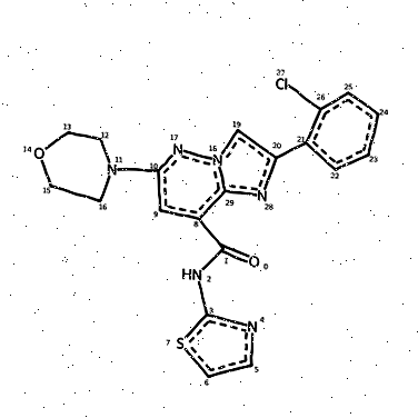 O=C(Nc1nccs1)c1cc(N2CCOCC2)nn2cc(-c3ccccc3Cl)nc12